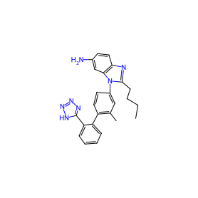 CCCCc1nc2ccc(N)cc2n1-c1ccc(-c2ccccc2-c2nnn[nH]2)c(C)c1